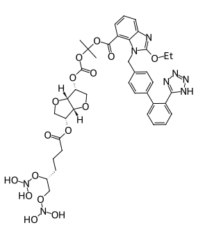 CCOc1nc2cccc(C(=O)OC(C)(C)OC(=O)O[C@@H]3CO[C@H]4[C@@H]3OC[C@H]4OC(=O)CCC[C@H](CON(O)O)ON(O)O)c2n1Cc1ccc(-c2ccccc2-c2nnn[nH]2)cc1